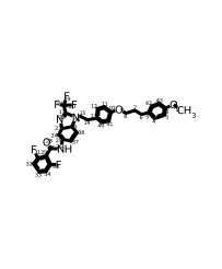 COc1ccc(CCCOc2ccc(CCN3C(C(F)(F)F)=NC4C=C(NC(=O)c5c(F)cccc5F)C=CC43)cc2)cc1